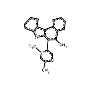 Cc1c[n+](C)c(-c2c(C)c3ccccc3c3c2oc2ccccc23)cn1